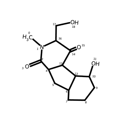 CN1C(=O)C2CC3CCCC(O)C3C2C(=O)C1CO